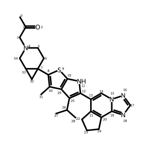 CC(=O)CN1CCC2(c3sc4[nH]c(-c5cn6ncnc6c6c5CCC6)c(C(C)C)c4c3C)CC2C1